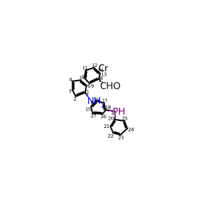 Nc1ccccc1.O=Cc1ccccc1.[Cr].c1ccc(Pc2ccccc2)cc1